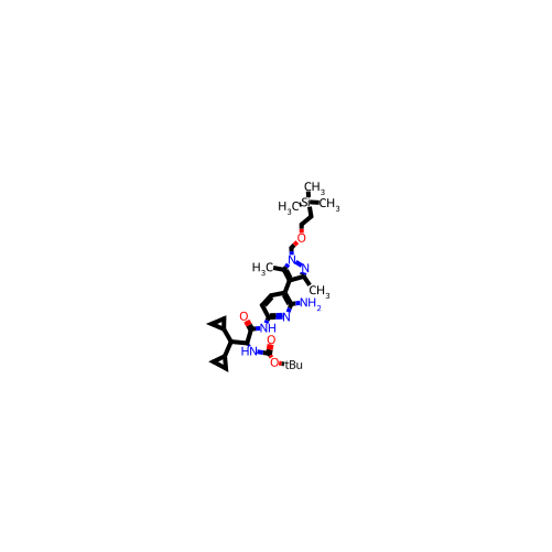 Cc1nn(COCC[Si](C)(C)C)c(C)c1-c1ccc(NC(=O)[C@@H](NC(=O)OC(C)(C)C)C(C2CC2)C2CC2)nc1N